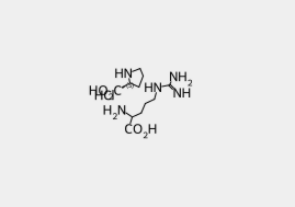 Cl.N=C(N)NCCCC(N)C(=O)O.O=C(O)[C@@H]1CCCN1